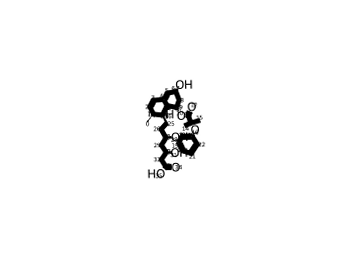 C[C@@H]1C=CC2=C[C@@H](O)C[C@H](OC(=O)C(C)(C)Oc3ccccc3)[C@@H]2[C@H]1CC[C@@H](O)C[C@@H](O)CC(=O)O